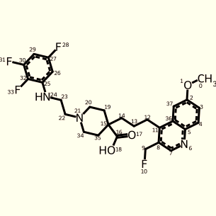 COc1ccc2ncc(CF)c(CCCC3(C(=O)O)CCN(CCNc4cc(F)cc(F)c4F)CC3)c2c1